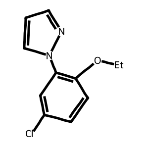 CCOc1ccc(Cl)cc1-n1cccn1